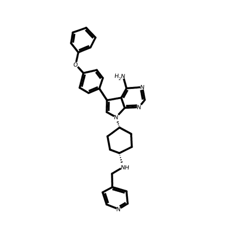 Nc1ncnc2c1c(-c1ccc(Oc3ccccc3)cc1)cn2[C@H]1CC[C@@H](NCc2ccncc2)CC1